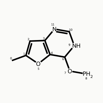 Cc1cc2c(o1)C(OP)NC=N2